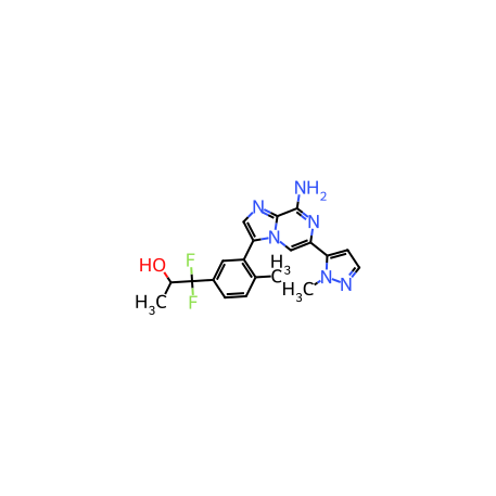 Cc1ccc(C(F)(F)C(C)O)cc1-c1cnc2c(N)nc(-c3ccnn3C)cn12